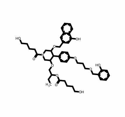 CCC(COC1CN(C(=O)CCCCO)CC(OCc2cc(O)c3ccccc3c2)C1c1ccc(OCCCOCc2ccccc2O)cc1)OC(=O)CCCCO